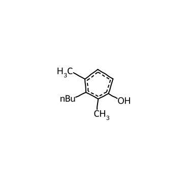 CCCCc1c(C)ccc(O)c1C